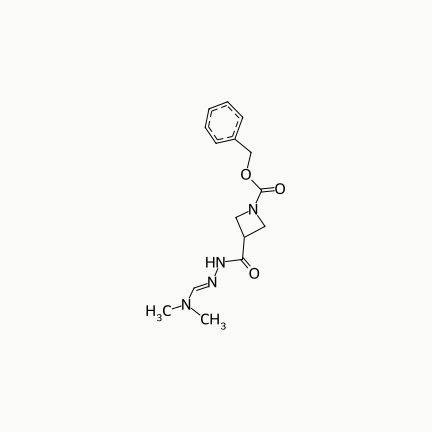 CN(C)/C=N/NC(=O)C1CN(C(=O)OCc2ccccc2)C1